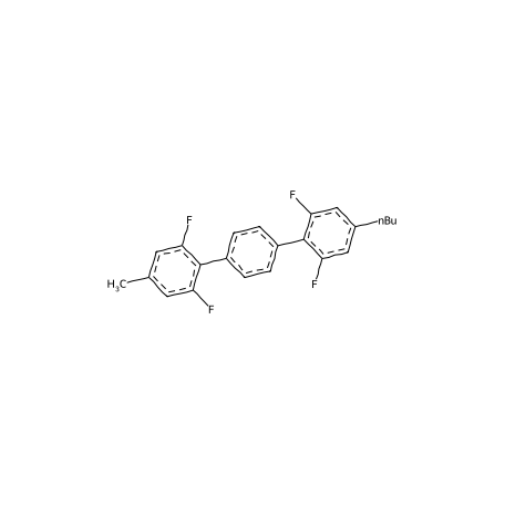 CCCCc1cc(F)c(-c2ccc(-c3c(F)cc(C)cc3F)cc2)c(F)c1